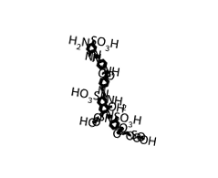 Nc1cc(N)c(S(=O)(=O)O)cc1/N=N/c1ccc(NS(=O)(=O)c2ccc(/N=N/c3c(S(=O)(=O)O)cc4cc(SOOO)c(/N=N/c5ccc(S(=O)(=O)CCOSOOO)cc5S(=O)(=O)O)c(O)c4c3N)cc2)cc1